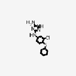 Nc1nc(Nc2ccc(Sc3ccccc3)c(Cl)c2)n[nH]1